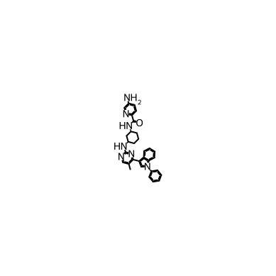 Cc1cnc(N[C@@H]2CCC[C@H](NC(=O)c3ccc(N)cn3)C2)nc1-c1cn(-c2ccccc2)c2ccccc12